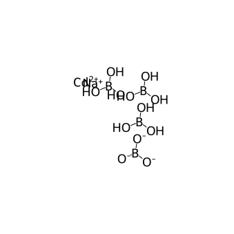 OB(O)O.OB(O)O.OB(O)O.[Cd+2].[Na+].[O-]B([O-])[O-]